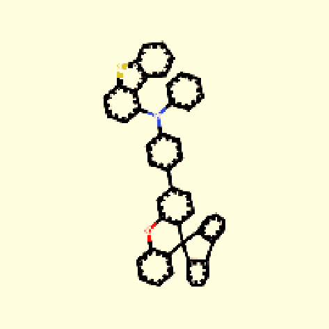 c1ccc(N(c2ccc(-c3ccc4c(c3)Oc3ccccc3C43c4ccccc4-c4ccccc43)cc2)c2cccc3sc4ccccc4c23)cc1